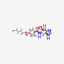 CCCCCCOc1ccc(C(=O)N[C@@H](Cc2cnc[nH]2)C(=O)O)cc1